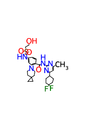 Cc1cc(C2CCC(F)(F)CC2)nc(NC(=O)c2ccc(NS(=O)(=O)CCO)cc2N2CCC3(CC2)CC3)n1